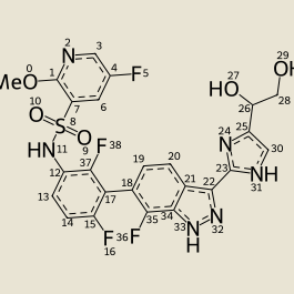 COc1ncc(F)cc1S(=O)(=O)Nc1ccc(F)c(-c2ccc3c(-c4nc(C(O)CO)c[nH]4)n[nH]c3c2F)c1F